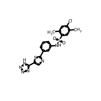 Cc1cc(S(=O)(=O)Nc2cccc(-c3ncc(-c4nnn[nH]4)s3)c2)c(C)cc1Cl